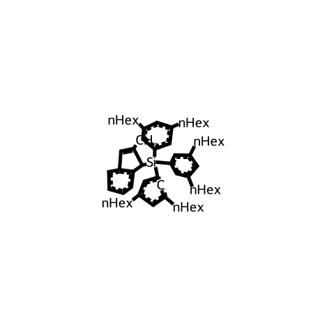 CCCCCCc1cc(CCCCCC)cc([Si]([C]2C(C)=Cc3ccccc32)(c2cc(CCCCCC)cc(CCCCCC)c2)c2cc(CCCCCC)cc(CCCCCC)c2)c1